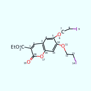 CCOC(=O)c1cc2cc(OCCI)c(OCCI)cc2oc1=O